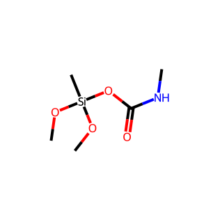 CNC(=O)O[Si](C)(OC)OC